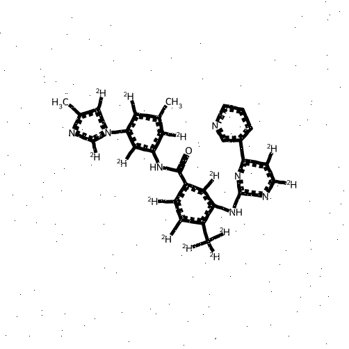 [2H]c1nc(Nc2c([2H])c(C(=O)Nc3c([2H])c(C)c([2H])c(-n4c([2H])nc(C)c4[2H])c3[2H])c([2H])c([2H])c2C([2H])([2H])[2H])nc(-c2cccnc2)c1[2H]